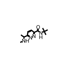 CNC(C)c1ccc(C(=O)NC(C)(C)C)nn1